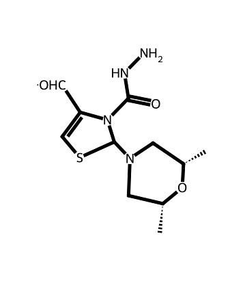 C[C@@H]1CN(C2SC=C([C]=O)N2C(=O)NN)C[C@H](C)O1